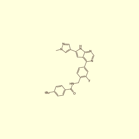 Cn1cc(-c2cc3c(-c4ccc(CNC(=O)c5ccc(C(C)(C)C)cc5)c(F)c4)ncnc3[nH]2)cn1